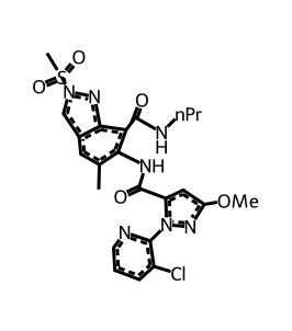 CCCNC(=O)c1c(NC(=O)c2cc(OC)nn2-c2ncccc2Cl)c(C)cc2cn(S(C)(=O)=O)nc12